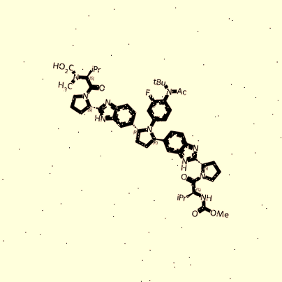 COC(=O)N[C@H](C(=O)N1CCC[C@H]1c1nc2ccc([C@H]3CC[C@H](c4ccc5nc([C@@H]6CCCN6C(=O)[C@H](C(C)C)N(C)C(=O)O)[nH]c5c4)N3c3ccc(N(C(C)=O)C(C)(C)C)c(F)c3)cc2[nH]1)C(C)C